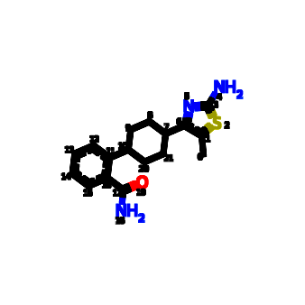 Cc1sc(N)nc1C1CCC(c2ccccc2C(N)=O)CC1